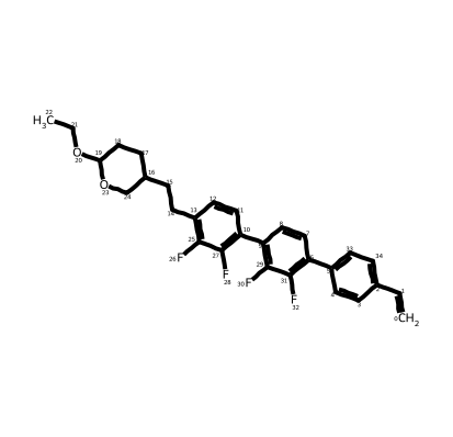 C=Cc1ccc(-c2ccc(-c3ccc(CCC4CCC(OCC)OC4)c(F)c3F)c(F)c2F)cc1